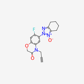 C#CCN1C(=O)COc2cc(F)c(-n3nc4c([n+]3[O-])CCCC4)cc21